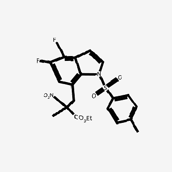 CCOC(=O)C(C)(Cc1cc(F)c(F)c2ccn(S(=O)(=O)c3ccc(C)cc3)c12)[N+](=O)[O-]